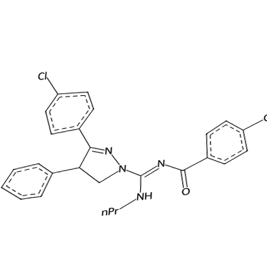 CCCN/C(=N\C(=O)c1ccc(Cl)cc1)N1CC(c2ccccc2)C(c2ccc(Cl)cc2)=N1